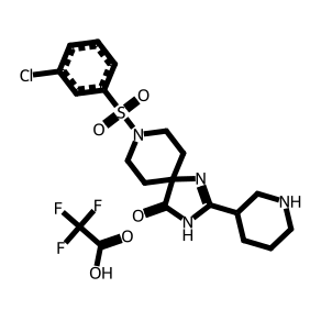 O=C(O)C(F)(F)F.O=C1NC(C2CCCNC2)=NC12CCN(S(=O)(=O)c1cccc(Cl)c1)CC2